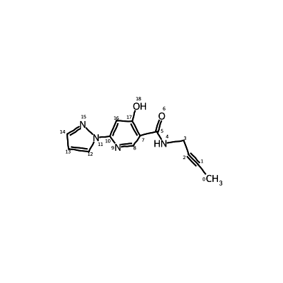 CC#CCNC(=O)c1cnc(-n2cccn2)cc1O